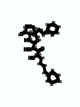 CNC(=O)[C@H](NC(=O)N(O)C(=O)[C@@H](O)CCCCc1ccccc1)C(C)(C)SCc1ccccc1